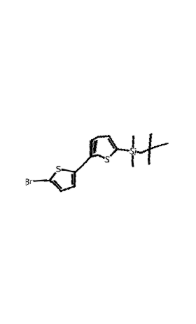 CC(C)(C)[Si](C)(C)c1ccc(-c2ccc(Br)s2)s1